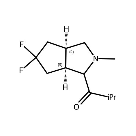 CC(C)C(=O)C1[C@H]2CC(F)(F)C[C@H]2CN1C